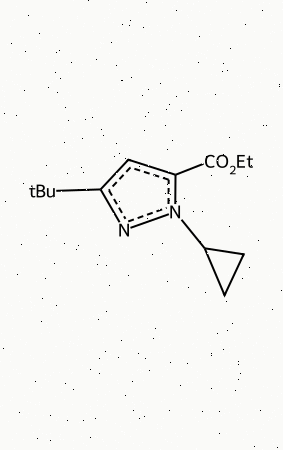 CCOC(=O)c1cc(C(C)(C)C)nn1C1CC1